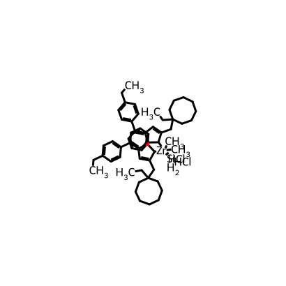 CCc1ccc(-c2cccc3c2C=C(CC2(CC)CCCCCCC2)[CH]3[Zr]([CH3])([CH3])(=[SiH2])[CH]2C(CC3(CC)CCCCCCC3)=Cc3c(-c4ccc(CC)cc4)cccc32)cc1.Cl.Cl